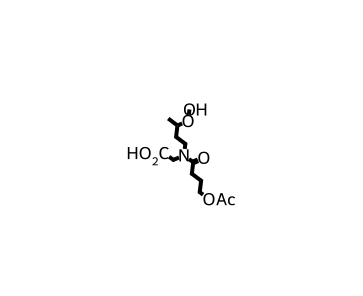 CC(=O)OCCCC(=O)N(CCC(C)OO)CC(=O)O